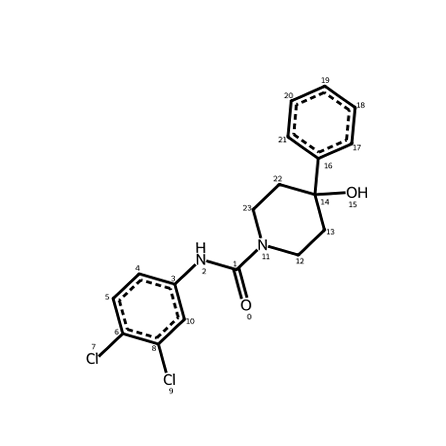 O=C(Nc1ccc(Cl)c(Cl)c1)N1CCC(O)(c2ccccc2)CC1